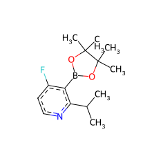 CC(C)c1nccc(F)c1B1OC(C)(C)C(C)(C)O1